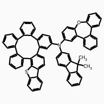 CC1(C)c2ccccc2-c2ccc(N(c3ccc4c(c3)-c3ccccc3-c3ccccc3O4)c3ccc4c5ccccc5c5ccccc5c5ccccc5c5c(ccc6c7ccccc7sc65)c4c3)cc21